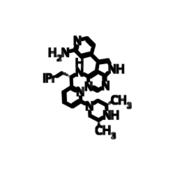 CC(C)C[C@H](Nc1ncnc2[nH]cc(-c3ccnc(N)c3)c12)c1cccc(N2C[C@@H](C)N[C@@H](C)C2)n1